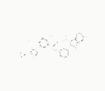 Cc1cc(F)c(C(=O)Nc2cccc(-c3nc4ccccc4n3C(C)C)n2)cc1-n1cnc(C2CC2)c1